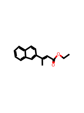 CCOC(=O)C=C(C)c1ccc2ccccc2c1